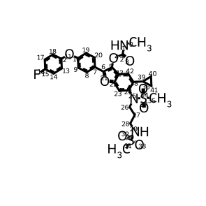 CNC(=O)Oc1c(-c2ccc(Oc3ccc(F)cc3)cc2)oc2cc(N(CCCNS(C)(=O)=O)S(C)(=O)=O)c(C3CC3)cc12